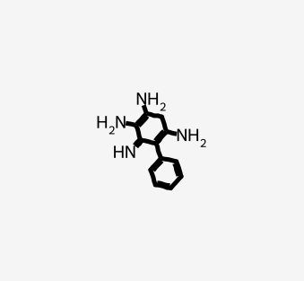 N=C1C(N)=C(N)CC(N)=C1c1ccccc1